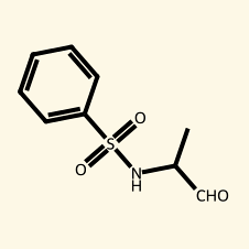 CC(C=O)NS(=O)(=O)c1ccccc1